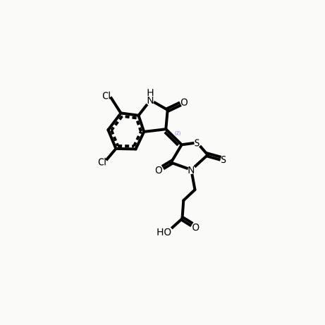 O=C(O)CCN1C(=O)/C(=C2/C(=O)Nc3c(Cl)cc(Cl)cc32)SC1=S